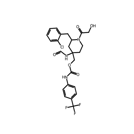 O=CNC1(COC(=O)Nc2ccc(C(F)(F)F)cc2)CCN(C(=O)CO)C(Cc2ccccc2Cl)C1